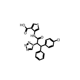 O=C(O)c1cscc1NC(=O)C(C(c1ccccc1)c1ccc(Cl)cc1)n1cnnn1